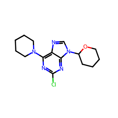 Clc1nc(N2CCCCC2)c2ncn(C3CCCCO3)c2n1